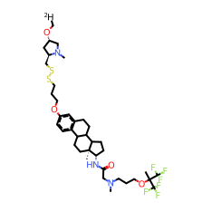 [2H]CO[C@H]1C[C@H](CSSCCCOc2ccc3c(c2)CCC2C3CC[C@@]3(C)C2CC[C@@H]3NC(=O)CN(C)CCCOC(C)(C(F)(F)F)C(F)(F)F)N(C)C1